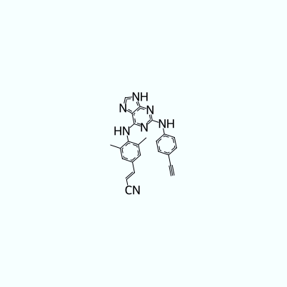 C#Cc1ccc(Nc2nc(Nc3c(C)cc(/C=C/C#N)cc3C)c3nc[nH]c3n2)cc1